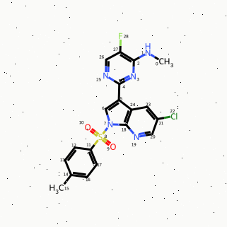 CNc1nc(-c2cn(S(=O)(=O)c3ccc(C)cc3)c3ncc(Cl)cc23)ncc1F